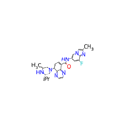 Cc1cn2cc(NC(=O)c3ccc(N4C[C@H](C)N[C@@H](C(C)C)C4)c4nccnc34)cc(F)c2n1